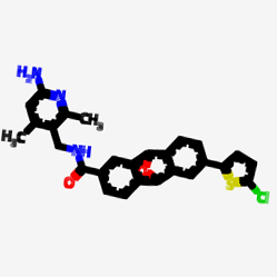 Cc1cc(N)nc(C)c1CNC(=O)c1ccc2c(c1)c1oc2c2cc(-c3ccc(Cl)s3)ccc21